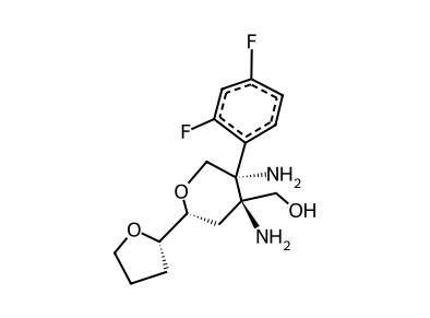 N[C@@]1(CO)C[C@H]([C@@H]2CCCO2)OC[C@@]1(N)c1ccc(F)cc1F